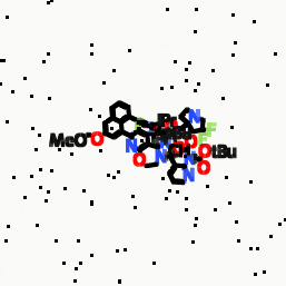 COCOc1cc(-c2nc3c4c(nc(OCC56CCN5CC(F)(F)C6)nc4c2F)N([C@H](C)c2cccnc2N(C(=O)OC(C)(C)C)C(=O)OC(C)(C)C)CCO3)c2c(C#C[Si](C(C)C)(C(C)C)C(C)C)cccc2c1